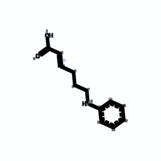 O=C(O)/C=C/CCCNc1ccccc1